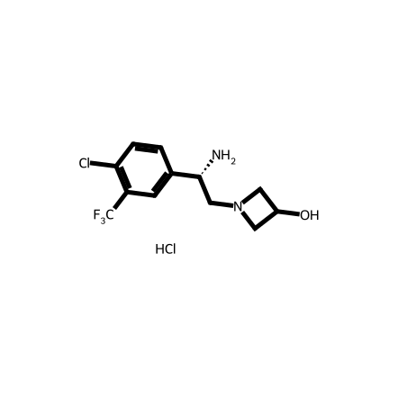 Cl.N[C@H](CN1CC(O)C1)c1ccc(Cl)c(C(F)(F)F)c1